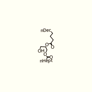 CCCCCCCCCCCCCC(=O)OC(CO)COC(=O)CCCCCCC